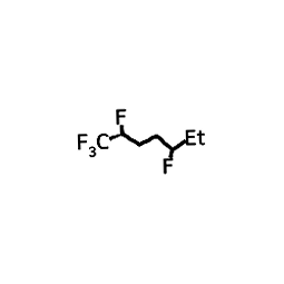 [CH2]CC(F)CC[C@H](F)C(F)(F)F